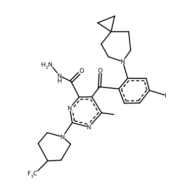 Cc1nc(N2CCC(C(F)(F)F)CC2)nc(C(=O)NN)c1C(=O)c1ccc(I)cc1N1CCC2(CC1)CC2